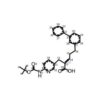 CC(C)(C)OC(=O)Nc1ccc(C/C(=C\CCc2cccc(-c3ccccc3)c2)C(=O)O)cn1